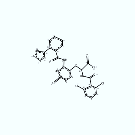 O=C(Nc1[nH]c(=O)ncc1CC(NC(=O)c1c(Cl)cccc1Cl)C(=O)O)c1ccccc1-c1nnn[nH]1